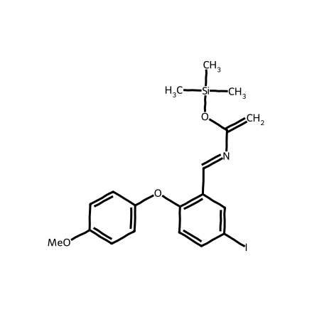 C=C(/N=C/c1cc(I)ccc1Oc1ccc(OC)cc1)O[Si](C)(C)C